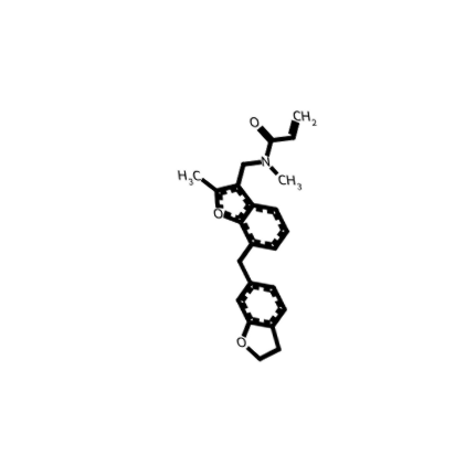 C=CC(=O)N(C)Cc1c(C)oc2c(Cc3ccc4c(c3)OCC4)cccc12